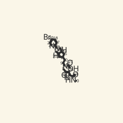 CNC(=O)c1cc(CN(CCC2C[C@@H]3CN(c4ccc(Br)cn4)C[C@@H]3C2)C(=O)O)on1